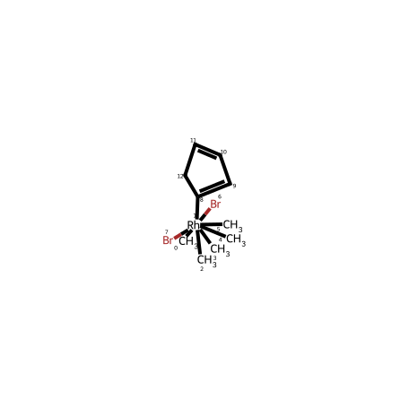 [CH3][Rh]([CH3])([CH3])([CH3])([CH3])([Br])([Br])[C]1=CC=CC1